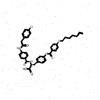 CCCCCCCOc1ccc(C(=O)Oc2ccc(C[C@H](NC(=O)c3ccc(NC(=O)Cc4ccc(Cl)cc4)cc3)C(=O)O)cc2)cc1